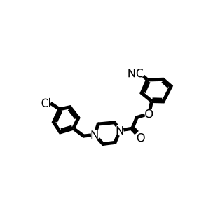 N#Cc1cccc(OCC(=O)N2CCN(Cc3ccc(Cl)cc3)CC2)c1